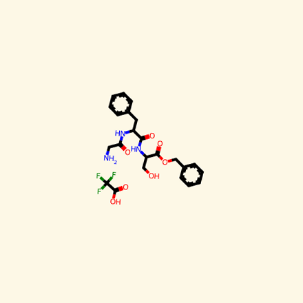 NCC(=O)NC(Cc1ccccc1)C(=O)NC(CO)C(=O)OCc1ccccc1.O=C(O)C(F)(F)F